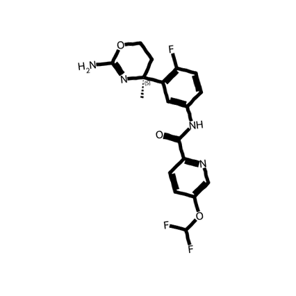 C[C@@]1(c2cc(NC(=O)c3ccc(OC(F)F)cn3)ccc2F)CCOC(N)=N1